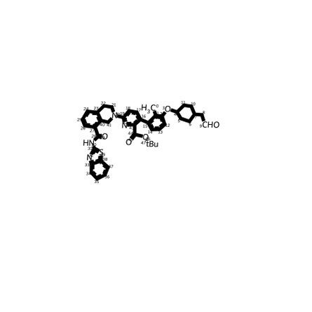 Cc1c(OC2CCC(CC=O)CC2)cccc1-c1ccc(N2CCc3cccc(C(=O)Nc4nc5ccccc5s4)c3C2)nc1C(=O)OC(C)(C)C